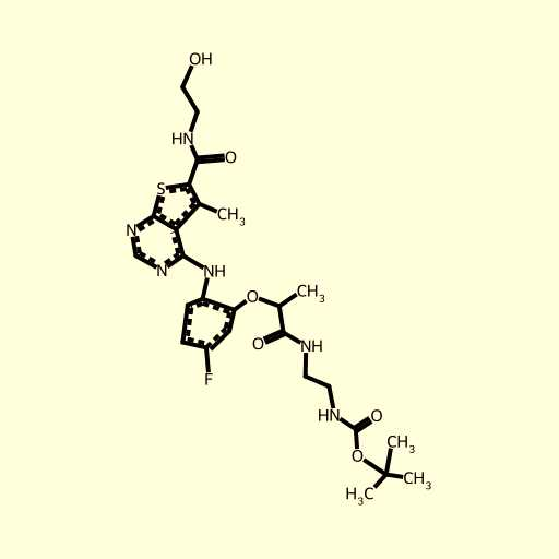 Cc1c(C(=O)NCCO)sc2ncnc(Nc3ccc(F)cc3OC(C)C(=O)NCCNC(=O)OC(C)(C)C)c12